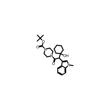 Cn1cc(C(C(=O)N2CCN(C(=O)OC(C)(C)C)CC2)C2(O)CCCCC2)c2ccccc21